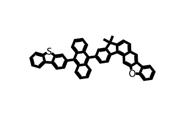 CC1(C)c2cc(-c3c4ccccc4c(-c4ccc5c(c4)sc4ccccc45)c4ccccc34)ccc2-c2c1ccc1cc3c(cc21)oc1ccccc13